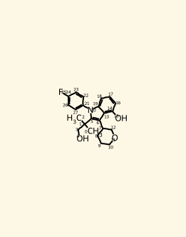 CC(C)(CO)c1c(C2CCCOC2)c2c(O)cccc2n1-c1ccc(F)cc1